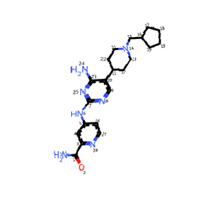 NC(=O)c1cc(Nc2ncc(C3CCN(CC4CCCC4)CC3)c(N)n2)ccn1